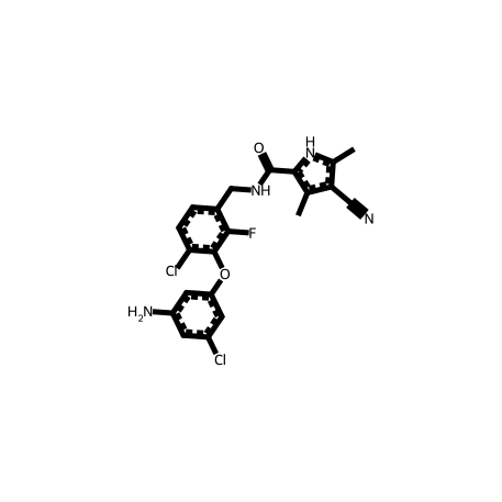 Cc1[nH]c(C(=O)NCc2ccc(Cl)c(Oc3cc(N)cc(Cl)c3)c2F)c(C)c1C#N